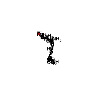 Cn1c(=O)n(C2CCC(=O)NC2=O)c2ccc(CCCOCCNC[C@H]3CC[C@H](n4cc(NC(=O)c5coc(-c6ccnc(NCC(F)(F)F)c6)n5)c(C(N)=O)n4)CC3)cc21